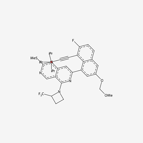 COCOc1cc(-c2cc3nc(SC)ncc3c(N3CCC3C(F)(F)F)n2)c2c(C#C[Si](C(C)C)(C(C)C)C(C)C)c(F)ccc2c1